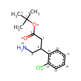 CC(C)(C)OC(=O)CC(CN)c1ccccc1Cl